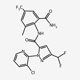 Cc1cc(C(F)(F)F)cc(C(N)=O)c1NC(=O)c1cc(C(F)F)nn1-c1ncccc1Cl